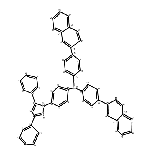 c1ccc(-c2cc(-c3ccccc3)n(-c3ccc(N(c4ccc(-c5ccc6ccccc6c5)cc4)c4ccc(-c5ccc6ccccc6c5)cc4)cc3)n2)cc1